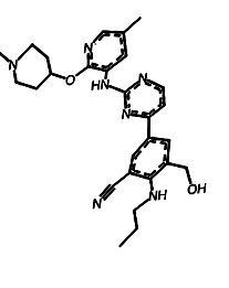 CCCNc1c(C#N)cc(-c2ccnc(Nc3cc(C)cnc3OC3CCN(C)CC3)n2)cc1CO